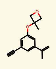 C#Cc1cc(OC2(C)COC2)cc(C(=C)C)c1